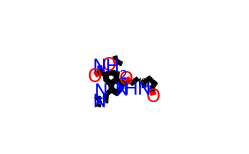 CC(C)Oc1cc2c(OCC[C@@H]3CCC(=O)N3)ncc(-c3cn(C)cn3)c2cc1C(N)=O